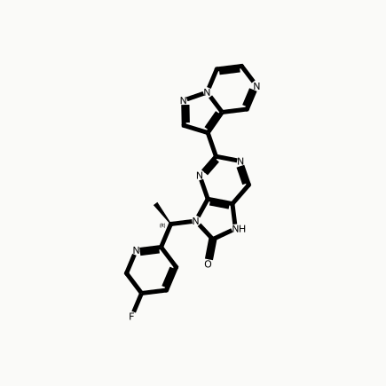 C[C@H](C1=NCC(F)C=C1)n1c(=O)[nH]c2cnc(-c3cnn4ccncc34)nc21